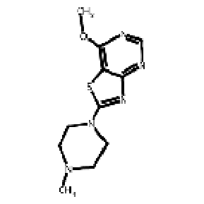 COc1ncnc2nc(N3CCN(C)CC3)sc12